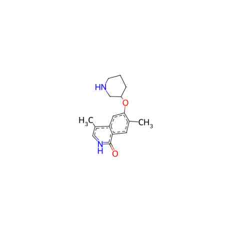 Cc1cc2c(=O)[nH]cc(C)c2cc1OC1CCCNC1